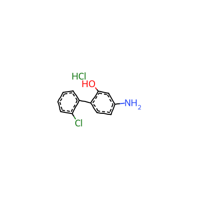 Cl.Nc1ccc(-c2ccccc2Cl)c(O)c1